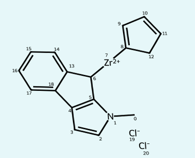 Cn1ccc2c1[CH]([Zr+2][C]1=CC=CC1)c1ccccc1-2.[Cl-].[Cl-]